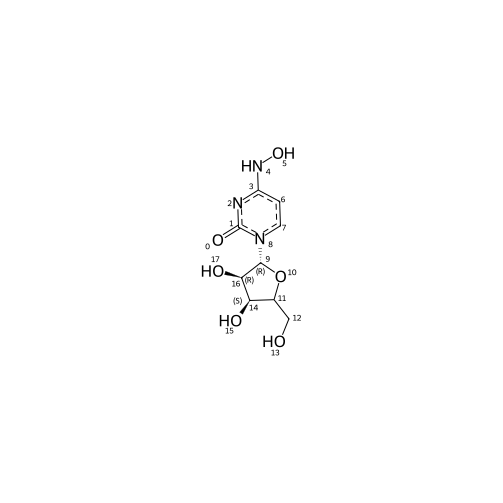 O=c1nc(NO)ccn1[C@@H]1OC(CO)[C@@H](O)[C@H]1O